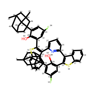 CC12CC3CC(C)(C1)C(c1cc(F)cc(-c4sc5ccccc5c4-c4cccc(-c5c(-c6cc(F)cc(C78CC9CC%10(C)CC(C)(C7)C%108C9)c6O)sc6ccccc56)n4)c1O)(C3)C2